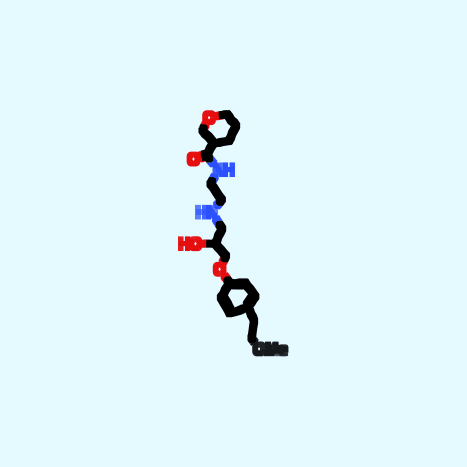 COCCc1ccc(OCC(O)CNCCNC(=O)C2CCCOC2)cc1